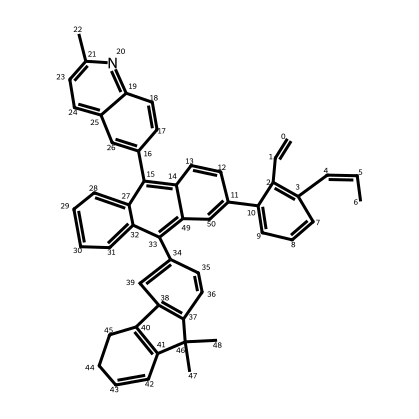 C=Cc1c(/C=C\C)cccc1-c1ccc2c(-c3ccc4nc(C)ccc4c3)c3ccccc3c(-c3ccc4c(c3)C3=C(C=CCC3)C4(C)C)c2c1